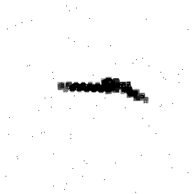 CCCCCCCCCCc1ccc2oc(NCCCCN)nc2c1